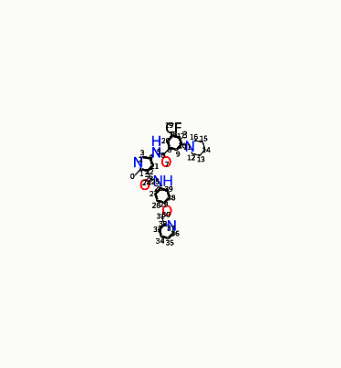 Cc1ncc(NC(=O)c2cc(N3CCCCC3)cc(C(F)(F)F)c2)cc1C(=O)Nc1ccc(OCc2ccccn2)cc1